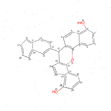 Oc1cccc2c3c(ccc12)C(c1ccc2ccccc2c1)c1ccc2c(O)cccc2c1O3